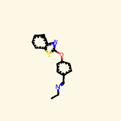 CCN=Cc1ccc(Oc2nc3ccccc3s2)cc1